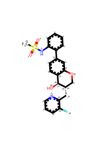 O=S(=O)(Nc1ccccc1-c1ccc2c(c1)OC[C@H](Cc1ncccc1F)[C@H]2O)C(F)(F)F